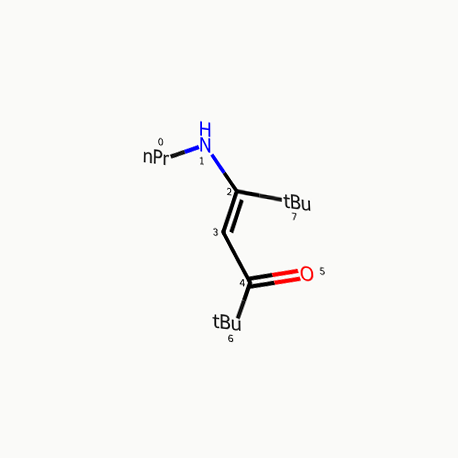 CCCNC(=CC(=O)C(C)(C)C)C(C)(C)C